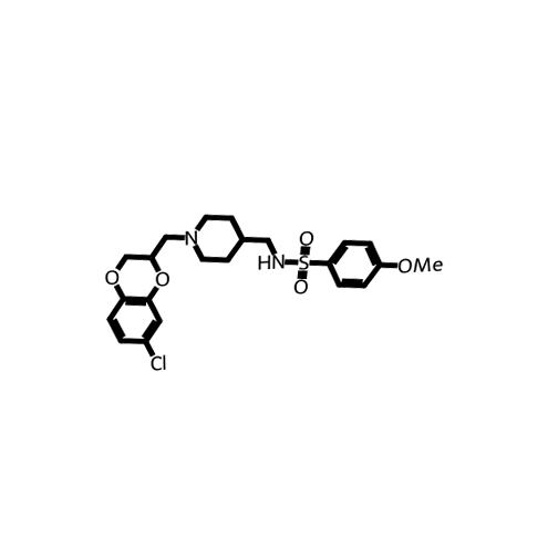 COc1ccc(S(=O)(=O)NCC2CCN(CC3COc4ccc(Cl)cc4O3)CC2)cc1